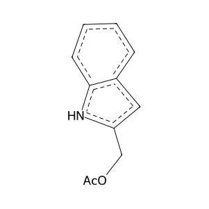 CC(=O)OCc1cc2ccccc2[nH]1